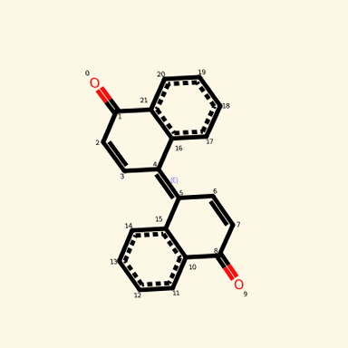 O=C1C=C/C(=C2/C=CC(=O)c3ccccc32)c2ccccc21